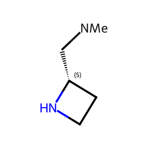 CNC[C@@H]1CCN1